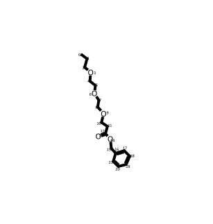 CCCOCCOCCOCCC(=O)OCc1ccccc1